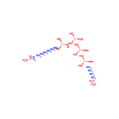 N.N.N.N.N.N.N.N.N.N.N.O.O.O.O.OB(O)O.OB(O)O.OB(O)O.OB(O)O